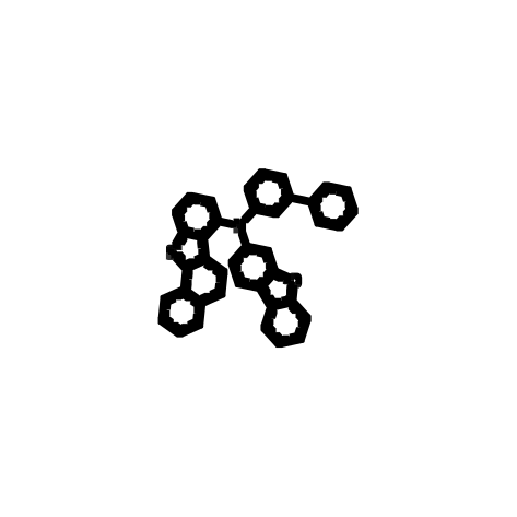 c1ccc(-c2cccc(N(c3ccc4c(c3)oc3ccccc34)c3cccc4sc5c6ccccc6ccc5c34)c2)cc1